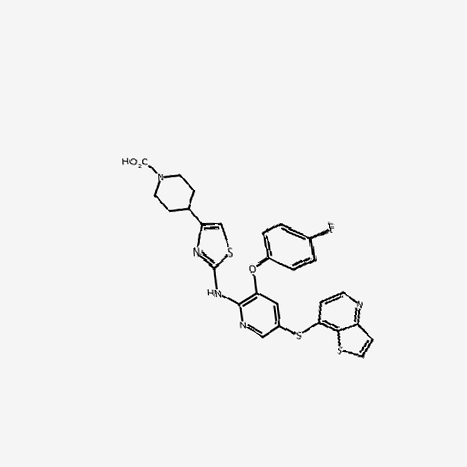 O=C(O)N1CCC(c2csc(Nc3ncc(Sc4ccnc5ccsc45)cc3Oc3ccc(F)cc3)n2)CC1